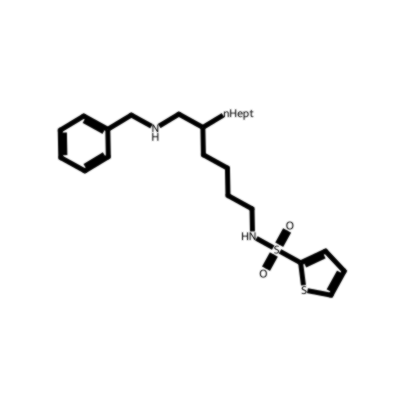 CCCCCCCC(CCCCNS(=O)(=O)c1cccs1)CNCc1ccccc1